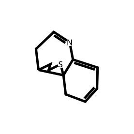 C1=CCC23SCCC2CC=NC3=C1